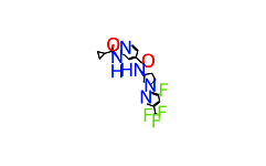 O=C(NC1CCN(c2ncc(C(F)(F)F)cc2F)C1)c1ccnc(NC(=O)C2CC2)c1